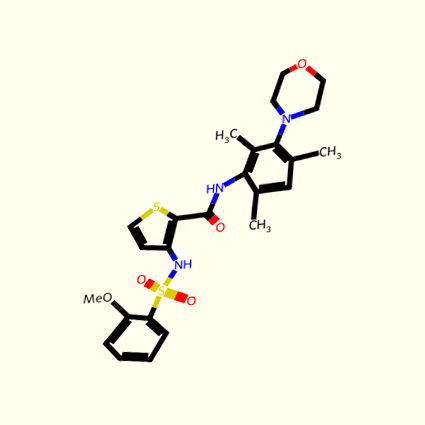 COc1ccccc1S(=O)(=O)Nc1ccsc1C(=O)Nc1c(C)cc(C)c(N2CCOCC2)c1C